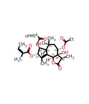 C/C=C(/C)C(=O)O[C@H]1C(C)=C2[C@H]([C@@H]1OC(=O)CCCCCCC)[C@@](C)(OC(C)=O)C[C@H](OC(=O)CC)[C@]1(O)[C@@H](C)C(=O)O[C@@H]21